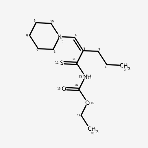 CCCC(=CN1CCCCC1)C(=S)NC(=O)OCC